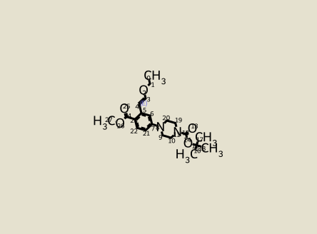 CCO/C=C/c1cc(N2CCN(C(=O)OC(C)(C)C)CC2)ccc1C(=O)OC